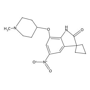 CN1CCC(Oc2cc([N+](=O)[O-])cc3c2NC(=O)C32CCC2)CC1